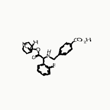 O=C(O)c1ccc(CNC(C(=O)O[C@H]2CN3CCC2CC3)c2ccccc2F)cc1